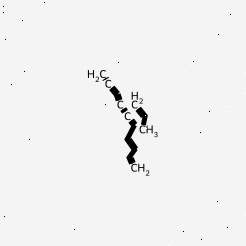 C=C=C=C=C=CC=CC=C.C=CC